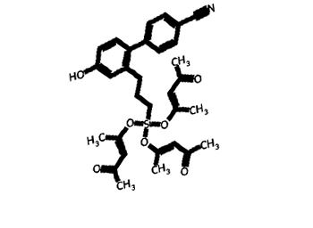 CC(=O)C=C(C)O[Si](CCCc1cc(O)ccc1-c1ccc(C#N)cc1)(OC(C)=CC(C)=O)OC(C)=CC(C)=O